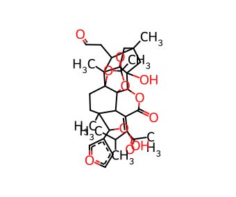 CC(=O)OC(c1ccoc1)C1(C)CCC23OC4(C)OC25C1/C(=C(/O)C(C)C)C(=O)OC5C1(O)CC2(C)CC1(O4)C3(C)C2CC=O